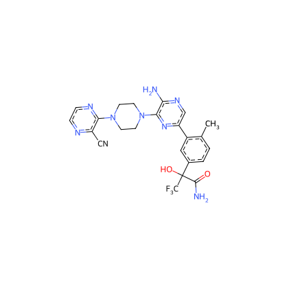 Cc1ccc(C(O)(C(N)=O)C(F)(F)F)cc1-c1cnc(N)c(N2CCN(c3nccnc3C#N)CC2)n1